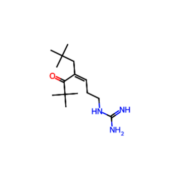 CC(C)(C)C/C(=C/CCNC(=N)N)C(=O)C(C)(C)C